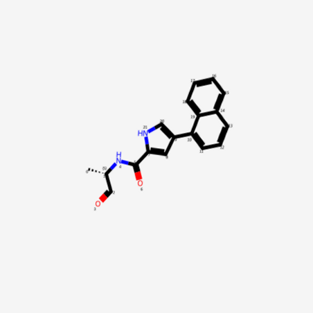 C[C@@H](C=O)NC(=O)c1cc(-c2cccc3ccccc23)c[nH]1